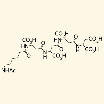 CC(=O)NCCCCCC(=O)N[C@@H](CC(=O)N[C@@H](CC(=O)N[C@@H](CC(=O)N[C@@H](CC(=O)O)C(=O)O)C(=O)O)C(=O)O)C(=O)O